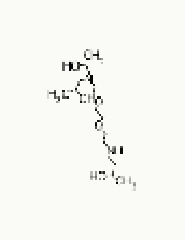 CC(O)CCNCCOCCOCCN(CC(C)O)CC(C)O